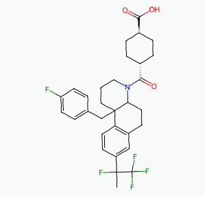 CC(F)(c1ccc2c(c1)CCC1N(C(=O)[C@H]3CC[C@H](C(=O)O)CC3)CCCC21Cc1ccc(F)cc1)C(F)(F)F